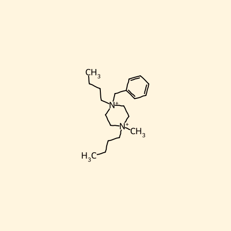 CCCC[N+]1(C)CC[N+](CCCC)(Cc2ccccc2)CC1